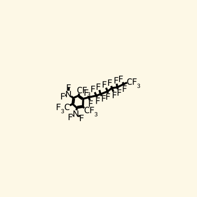 FN(F)c1c(C(F)(F)F)c(N(F)F)c(C(F)(F)F)c(C(F)(F)C(F)(F)C(F)(F)C(F)(F)C(F)(F)C(F)(F)C(F)(F)C(F)(F)F)c1C(F)(F)F